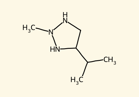 CC(C)C1CNN(C)N1